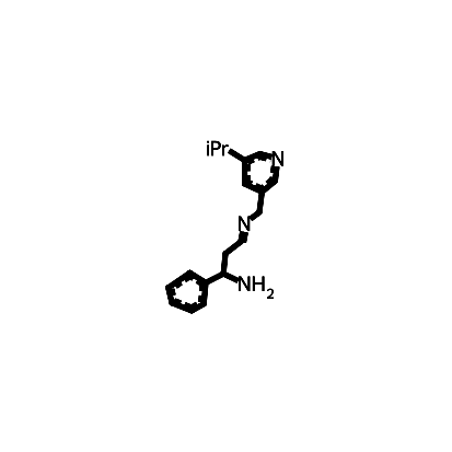 CC(C)c1cncc(C/N=C/CC(N)c2ccccc2)c1